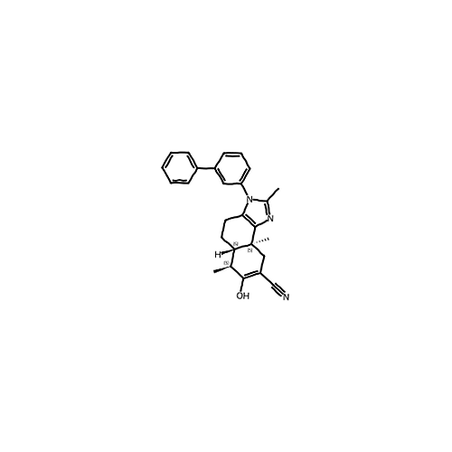 Cc1nc2c(n1-c1cccc(-c3ccccc3)c1)CC[C@H]1[C@H](C)C(O)=C(C#N)C[C@]21C